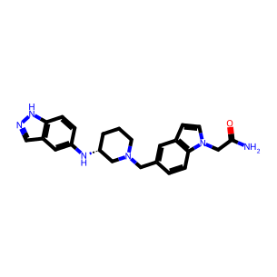 NC(=O)Cn1ccc2cc(CN3CCC[C@@H](Nc4ccc5[nH]ncc5c4)C3)ccc21